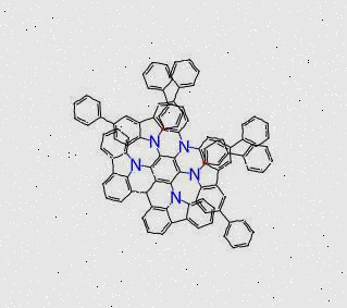 c1ccc(-c2ccc(N(c3ccc(-c4ccccc4)cc3)c3c(-n4c5ccc(-c6ccccc6)cc5c5cc(-c6ccccc6)ccc54)c4c5c(c3-n3c6ccc(-c7ccccc7)cc6c6cc(-c7ccccc7)ccc63)-n3c6ccccc6c6cccc(c63)C5c3cccc5c6ccccc6n-4c35)cc2)cc1